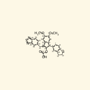 COc1cc2c(-c3ccc4c(c3)CCO4)c(OC(=O)O)n(Cc3ccc4nsnc4c3)c2cc1OC